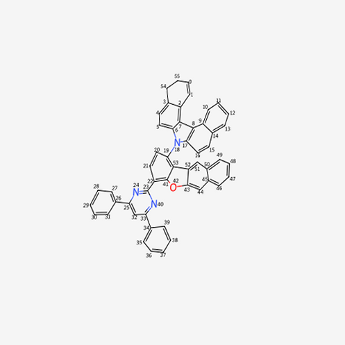 C1=Cc2c(ccc3c2c2c4ccccc4ccc2n3-c2ccc(-c3nc(-c4ccccc4)cc(-c4ccccc4)n3)c3oc4cc5ccccc5cc4c23)CC1